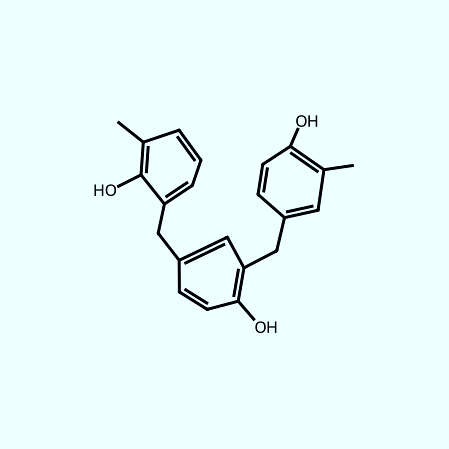 Cc1cc(Cc2cc(Cc3cccc(C)c3O)ccc2O)ccc1O